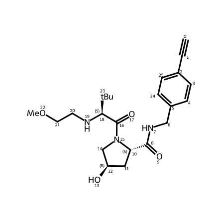 C#Cc1ccc(CNC(=O)[C@@H]2C[C@@H](O)CN2C(=O)[C@@H](NCCOC)C(C)(C)C)cc1